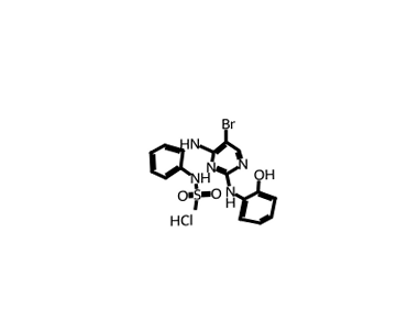 CS(=O)(=O)Nc1ccccc1Nc1nc(Nc2ccccc2O)ncc1Br.Cl